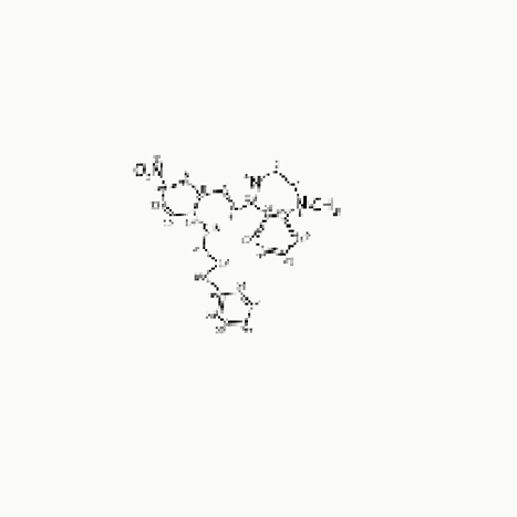 CN1CCN=C(C=Cc2cc([N+](=O)[O-])ccc2SCCCc2ccccc2)c2ccccc21